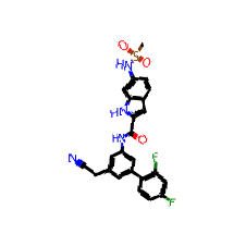 CS(=O)(=O)Nc1ccc2cc(C(=O)Nc3cc(CC#N)cc(-c4ccc(F)cc4F)c3)[nH]c2c1